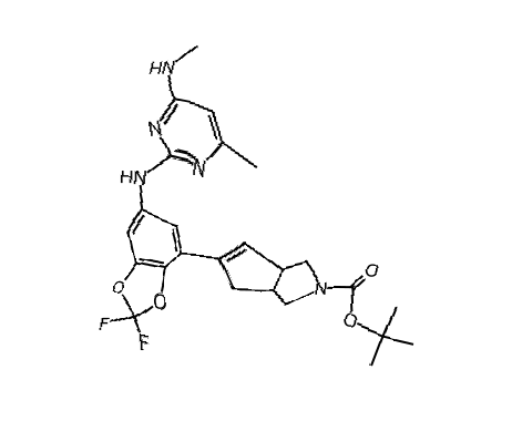 CNc1cc(C)nc(Nc2cc3c(c(C4=CC5CN(C(=O)OC(C)(C)C)CC5C4)c2)OC(F)(F)O3)n1